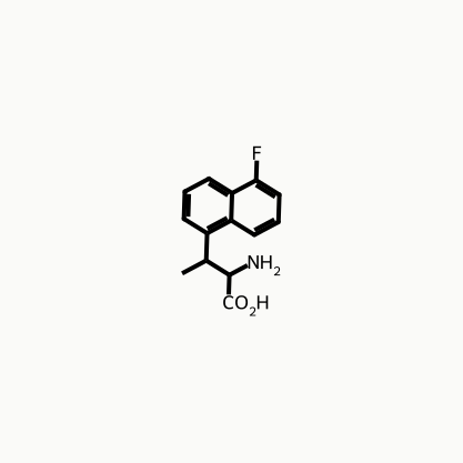 CC(c1cccc2c(F)cccc12)C(N)C(=O)O